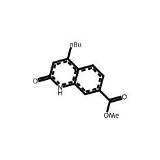 CCCCc1cc(=O)[nH]c2cc(C(=O)OC)ccc12